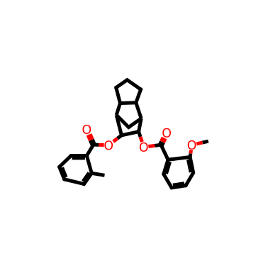 COc1ccccc1C(=O)OC1C2CC(C3CCCC32)C1OC(=O)c1ccccc1C